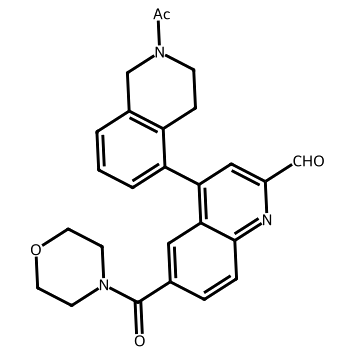 CC(=O)N1CCc2c(cccc2-c2cc(C=O)nc3ccc(C(=O)N4CCOCC4)cc23)C1